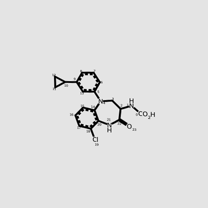 O=C(O)NC1CN(c2cccc(C3CC3)c2)c2cccc(Cl)c2NC1=O